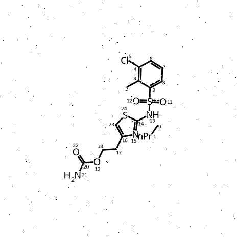 CCCC.Cc1c(Cl)cccc1S(=O)(=O)Nc1nc(CCOC(N)=O)cs1